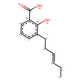 CCC=CCCc1cccc(C(=O)O)c1O